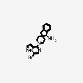 N[C@@H]1c2ccccc2CC12CCN(c1ncc(Br)n3nccc13)CC2